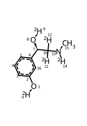 [2H]Oc1cccc([C@@H](O[2H])C([2H])([2H])N([2H])C)c1